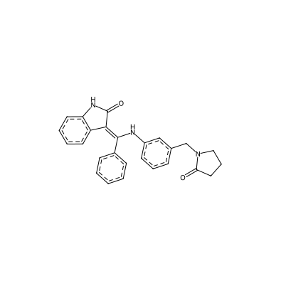 O=C1Nc2ccccc2/C1=C(/Nc1cccc(CN2CCCC2=O)c1)c1ccccc1